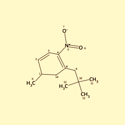 CC1C=CC([N+](=O)[O-])=C(CC(C)(C)C)C1